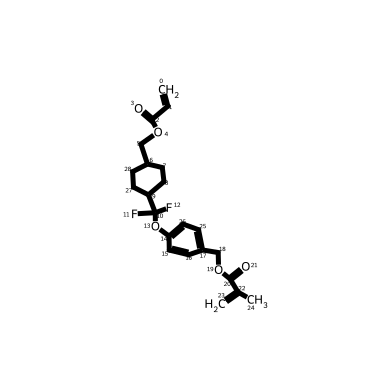 C=CC(=O)OCC1CCC(C(F)(F)Oc2ccc(COC(=O)C(=C)C)cc2)CC1